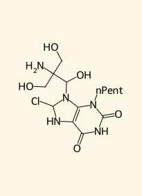 CCCCCn1c2c(c(=O)[nH]c1=O)NC(Cl)N2C(O)C(N)(CO)CO